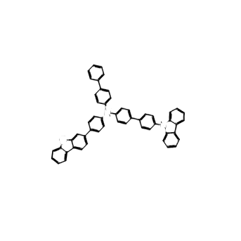 c1ccc(-c2ccc(N(c3ccc(-c4ccc(-n5c6ccccc6c6ccccc65)cc4)cc3)c3ccc(-c4ccc5c(c4)oc4ccccc45)cc3)cc2)cc1